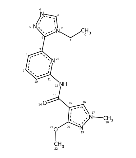 CCn1cnnc1-c1cccc(NC(=O)c2cn(C)nc2OC)n1